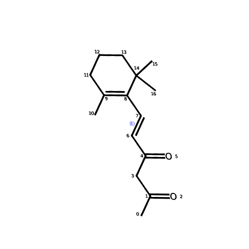 CC(=O)CC(=O)/C=C/C1=C(C)CCCC1(C)C